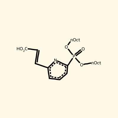 CCCCCCCCOP(=O)(OCCCCCCCC)c1cccc(C=CC(=O)O)n1